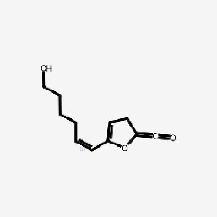 O=C=C1CC=C(/C=C\CCCCO)O1